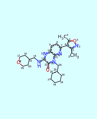 Cc1noc(C)c1-c1ccc2nc(NCC3CCOCC3)c(=O)n(CC3CCCCC3)c2n1